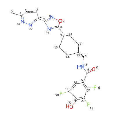 Cc1ccc(-c2noc([C@H]3CC[C@H](CNC(=O)c4cc(F)c(O)c(F)c4F)CC3)n2)nn1